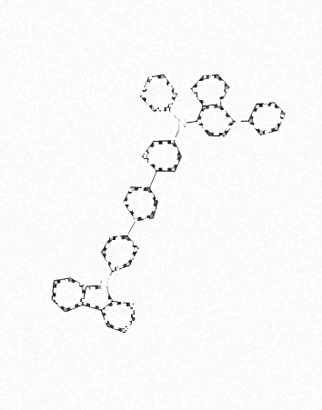 c1ccc(-c2ccc(N(c3ccccc3)c3ccc(-c4ccc(-c5ccc(-n6c7ccccc7c7ccccc76)cc5)cc4)cc3)c3ccccc23)cc1